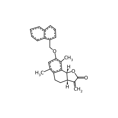 C=C1C(=O)O[C@H]2c3c(C)c(OCc4cccc5ccccc45)cc(C)c3CC[C@@H]12